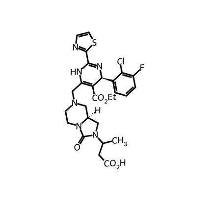 CCOC(=O)C1=C(CN2CCN3C(=O)N(C(C)CC(=O)O)C[C@@H]3C2)NC(c2nccs2)=N[C@H]1c1cccc(F)c1Cl